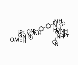 COC(=O)N[C@H](C(=O)N1CCC[C@H]1c1ncc(-c2ccc(-c3ccc(-c4cnc([C@H]5[C@H](C(=O)N[C@H](C(=O)NCc6cccnc6)C(C)C)C6CC[C@@H]65)[nH]4)cc3)cc2)[nH]1)C(C)C